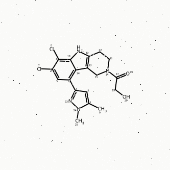 Cc1cc(-c2cc(Cl)c(Cl)c3[nH]c4c(c23)CN(C(=O)CO)CC4)nn1C